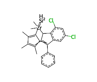 CC1=C(C)C(C)[C]([Zr]([CH3])([CH3])(=[SiH2])[CH]2C(C)=C(c3ccccc3)c3cc(Cl)cc(Cl)c32)=C1C